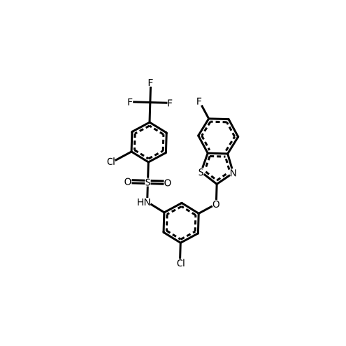 O=S(=O)(Nc1cc(Cl)cc(Oc2nc3ccc(F)cc3s2)c1)c1ccc(C(F)(F)F)cc1Cl